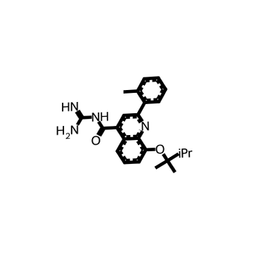 Cc1ccccc1-c1cc(C(=O)NC(=N)N)c2cccc(OC(C)(C)C(C)C)c2n1